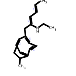 C/C=C/C=C(/CC1=C\C=C\C2=CC(=C\1)/CC2C)NCC